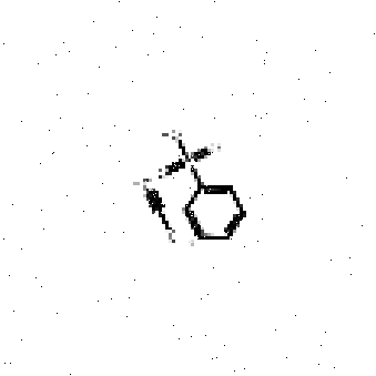 C#CC.O=S(=O)(O)c1ccccc1